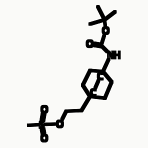 CC(C)(C)OC(=O)NC12CCC(CCOS(C)(=O)=O)(CC1)CC2